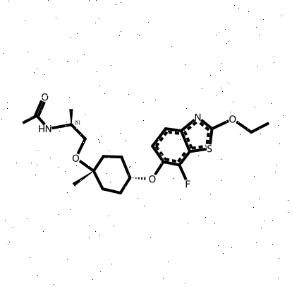 CCOc1nc2ccc(O[C@H]3CC[C@@](C)(OC[C@H](C)NC(C)=O)CC3)c(F)c2s1